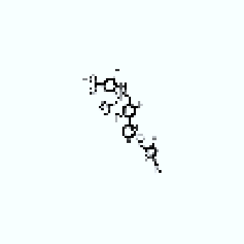 N#Cc1cc(F)c(COc2nc(-c3cc(F)c(Cc4nc5c(F)cc(C(=O)O)cc5n4CC4CCO4)cc3F)ccc2F)s1